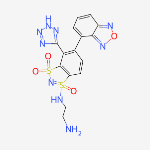 NCCNS1(=O)=NS(=O)(=O)c2c1ccc(-c1cccc3nonc13)c2-c1nn[nH]n1